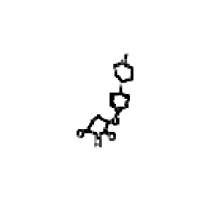 CN1CCC(c2ccc(OC3CCC(=O)NC3=O)cc2)CC1